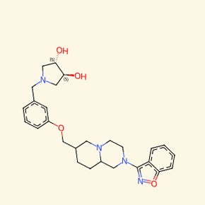 O[C@H]1CN(Cc2cccc(OCC3CCC4CN(c5noc6ccccc56)CCN4C3)c2)C[C@@H]1O